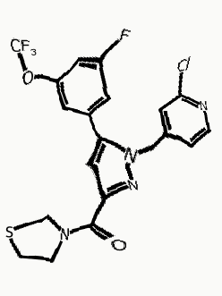 O=C(c1cc(-c2cc(F)cc(OC(F)(F)F)c2)n(-c2ccnc(Cl)c2)n1)N1CCSC1